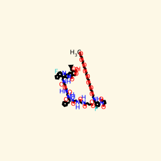 COCCOCCOCCOCCOCCOCCOCCOCCNC(=O)c1cc(N2C(=O)C=CC2=O)cc(F)c1OCCCC(=O)NCC(=O)NCC(=O)N[C@@H](Cc1ccccc1)C(=O)NCC(=O)NCOCC(=O)NCc1c2c(nc3cc(F)c4c(c13)CCC4)-c1cc3c(c(=O)n1C2)COC(=O)[C@]3(O)CC1CC1